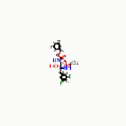 CC(C)(C)OC(=O)N[C@@H](Cc1cc(F)cc(F)c1)[C@H](O)CNC(=O)OCc1ccccc1